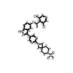 CC(Oc1ccc2[nH]nc(-c3cnc(N4CC5(CCN(S(C)(=O)=O)CC5)C4)nc3)c2c1)c1c(Cl)cncc1Cl